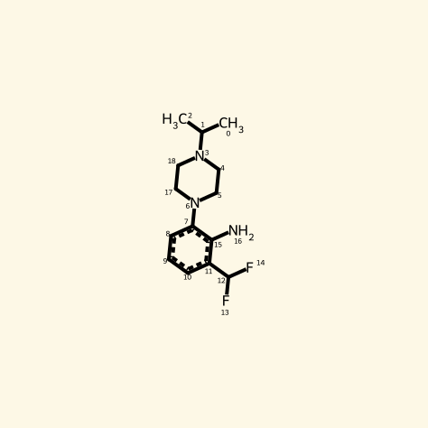 CC(C)N1CCN(c2cccc(C(F)F)c2N)CC1